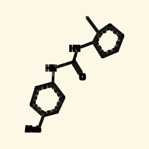 CSc1ccc(NC(=O)Nc2ccccc2C)cc1